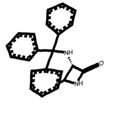 O=C1NC(F)[C@@H]1NC(c1ccccc1)(c1ccccc1)c1ccccc1